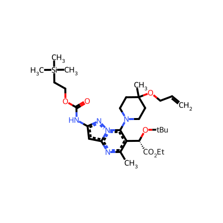 C=CCOC1(C)CCN(c2c([C@H](OC(C)(C)C)C(=O)OCC)c(C)nc3cc(NC(=O)OCC[Si](C)(C)C)nn23)CC1